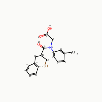 Cc1cccc(N(CC(=O)O)C(=O)C(CS)Cc2ccccc2)c1